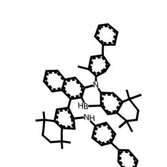 Cc1cc(-c2ccccc2)ccc1N1c2cc3c(cc2Bc2c1cc1ccccc1c2-c1cc2c(cc1Nc1ccc(-c4ccccc4)cc1)C(C)(C)CCC2(C)C)C(C)(C)CCC3(C)C